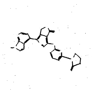 Cn1ccc2c(-c3ncc(Nc4cccc(N5C[C@H](N)CC5=O)n4)c4c3CNC4=O)ccnc21